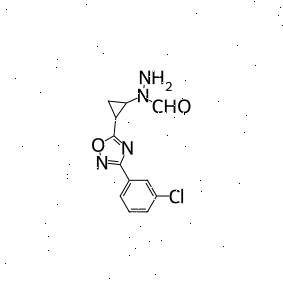 NN(C=O)C1CC1c1nc(-c2cccc(Cl)c2)no1